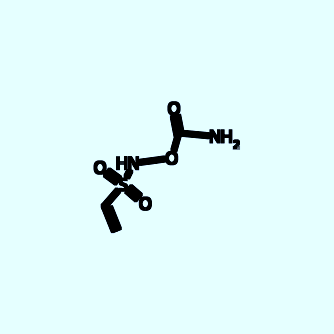 C=CS(=O)(=O)NOC(N)=O